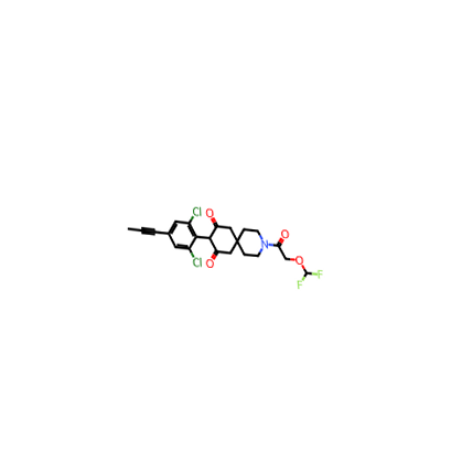 CC#Cc1cc(Cl)c(C2C(=O)CC3(CCN(C(=O)COC(F)F)CC3)CC2=O)c(Cl)c1